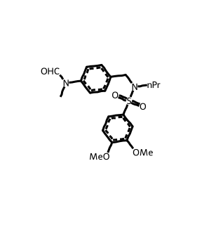 CCCN(Cc1ccc(N(C)C=O)cc1)S(=O)(=O)c1ccc(OC)c(OC)c1